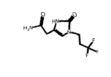 NC(=O)Cc1cn(CCC(F)(F)F)c(=O)[nH]1